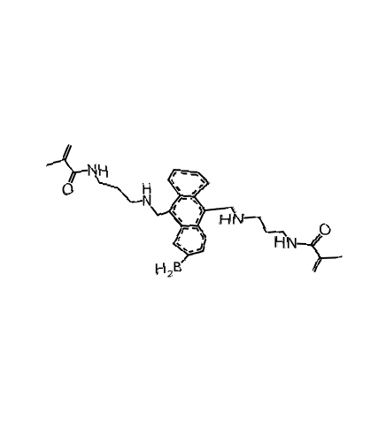 Bc1ccc2c(CNCCCNC(=O)C(=C)C)c3ccccc3c(CNCCCNC(=O)C(=C)C)c2c1